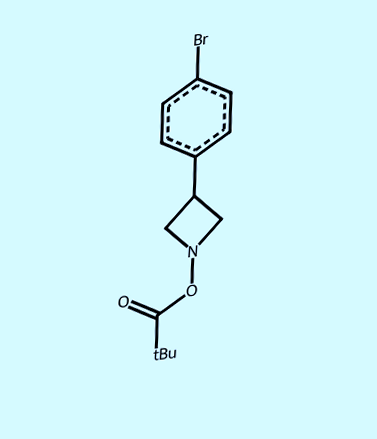 CC(C)(C)C(=O)ON1CC(c2ccc(Br)cc2)C1